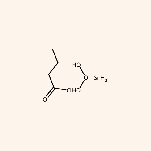 CCCC(=O)Cl.OOO.[SnH2]